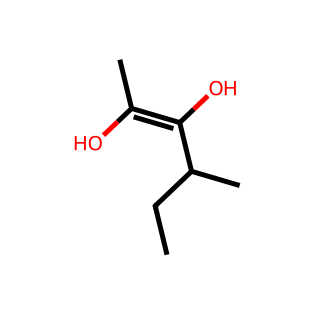 CCC(C)/C(O)=C(/C)O